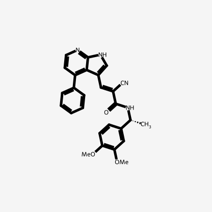 COc1ccc([C@@H](C)NC(=O)/C(C#N)=C/c2c[nH]c3nccc(-c4ccccc4)c23)cc1OC